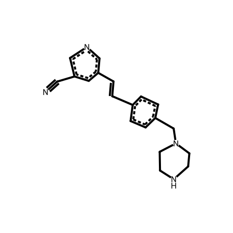 N#Cc1cncc(C=Cc2ccc(CN3CCNCC3)cc2)c1